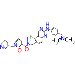 CN(C)Cc1ccc(Nc2ncc3c(F)c(CNC(=O)c4cccn(Cc5cccnc5)c4=O)ccc3n2)cc1